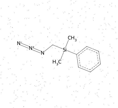 C[Si](C)(CN=[N+]=[N-])c1ccccc1